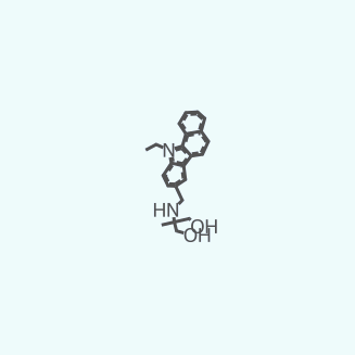 CCn1c2ccc(CNC(C)(CO)CO)cc2c2ccc3ccccc3c21